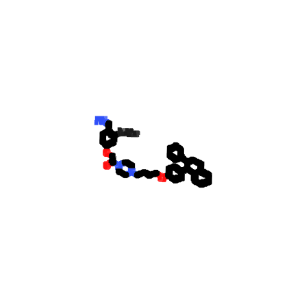 CNc1cc(OCC(=O)N2CCN(CCCCOc3ccc(C4c5ccccc5CCC4c4ccccc4)cc3)CC2)ccc1C=N